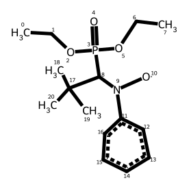 CCOP(=O)(OCC)C(N([O])c1ccccc1)C(C)(C)C